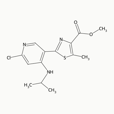 COC(=O)c1nc(-c2cnc(Cl)cc2NC(C)C)sc1C